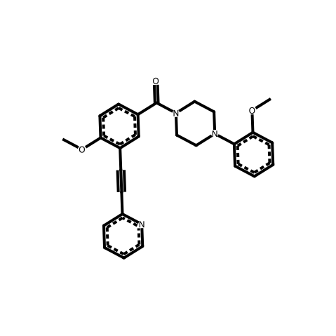 COc1ccc(C(=O)N2CCN(c3ccccc3OC)CC2)cc1C#Cc1ccccn1